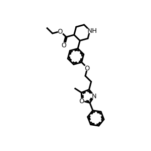 CCOC(=O)C1CCNCC1c1cccc(OCCc2nc(-c3ccccc3)oc2C)c1